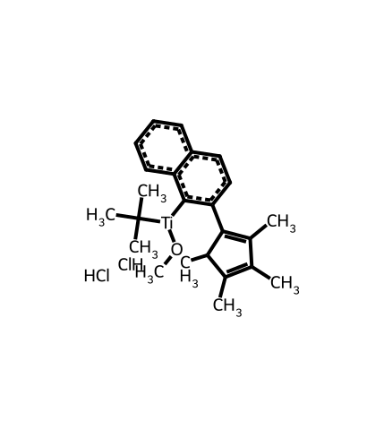 C[O][Ti]([c]1c(C2=C(C)C(C)=C(C)C2C)ccc2ccccc12)[C](C)(C)C.Cl.Cl